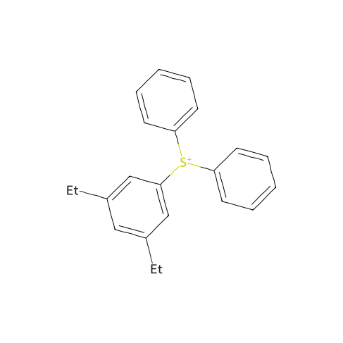 CCc1cc(CC)cc([S+](c2ccccc2)c2ccccc2)c1